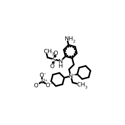 CC[N+](CCc1ccc(N)cc1NS(=O)(=O)CC)(C1CCCCC1)C1CCCCC1.[O-][I+2]([O-])[O-]